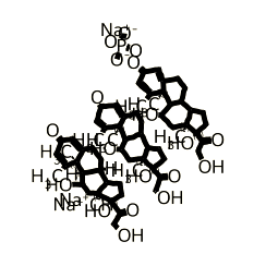 CC1=CC(=O)C=C2CCC3C(C(O)C[C@@]4(C)C3CC[C@]4(O)C(=O)CO)[C@@]12C.CC1=CC(=O)C=C2CCC3C(C(O)C[C@@]4(C)C3CC[C@]4(O)C(=O)CO)[C@@]12C.CC1=CC(=O)C=C2CC[C@@H]3C4CC[C@](O)(C(=O)CO)[C@@]4(C)CC(O)[C@H]3[C@@]12C.O=P([O-])([O-])[O-].[Na+].[Na+].[Na+]